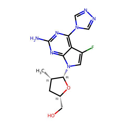 C[C@H]1C[C@@H](CO)O[C@H]1n1cc(F)c2c(-n3cnnc3)nc(N)nc21